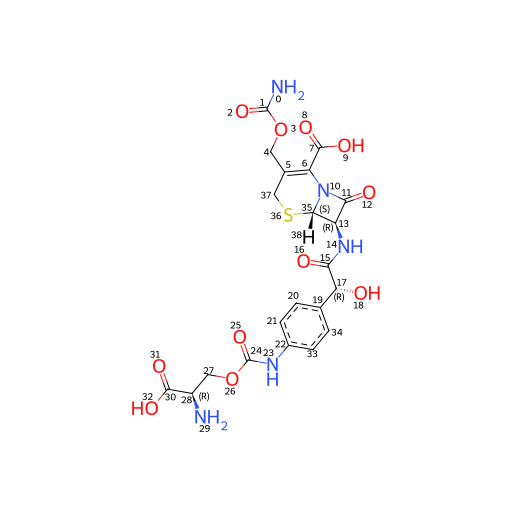 NC(=O)OCC1=C(C(=O)O)N2C(=O)[C@@H](NC(=O)[C@H](O)c3ccc(NC(=O)OC[C@@H](N)C(=O)O)cc3)[C@@H]2SC1